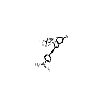 CN(C)c1ccc(C#Cc2cc3cc(Br)cnc3n2[Si](C)(C)C(C)(C)C)cc1